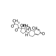 CC(=O)CC(=O)[C@@]1(O)CC[C@H]2[C@@H]3CCC4=CC(=O)CC[C@]4(C)C3=CC[C@@]21C